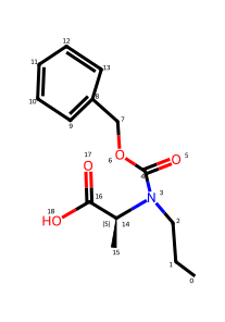 CCCN(C(=O)OCc1ccccc1)[C@@H](C)C(=O)O